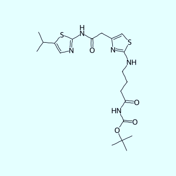 CC(C)c1cnc(NC(=O)Cc2csc(NCCCC(=O)NC(=O)OC(C)(C)C)n2)s1